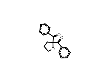 O=C(c1ccccc1)C1(C(=O)c2ccccc2)CCCO1